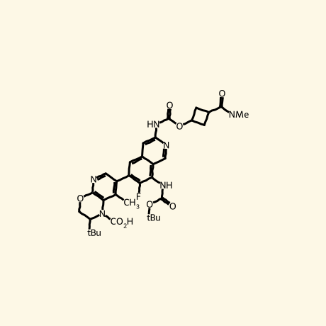 CNC(=O)C1CC(OC(=O)Nc2cc3cc(-c4cnc5c(c4C)N(C(=O)O)C(C(C)(C)C)CO5)c(F)c(NC(=O)OC(C)(C)C)c3cn2)C1